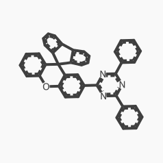 c1ccc(-c2nc(-c3ccccc3)nc(-c3ccc4c(c3)C3(c5ccccc5O4)c4ccccc4-c4ccccc43)n2)cc1